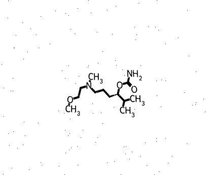 COCCN(C)CCC[C@@H](OC(N)=O)C(C)C